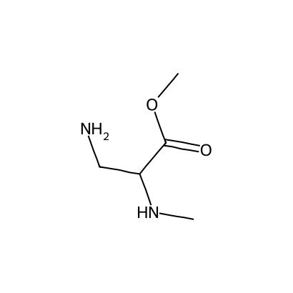 CNC(CN)C(=O)OC